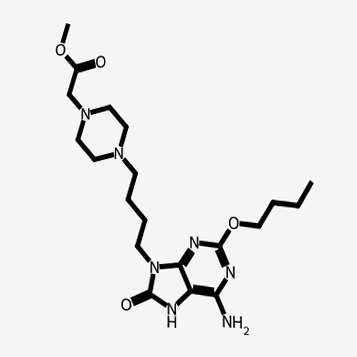 CCCCOc1nc(N)c2[nH]c(=O)n(CCCCN3CCN(CC(=O)OC)CC3)c2n1